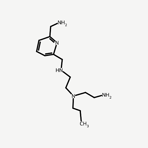 CCCN(CCN)CCNCc1cccc(CN)n1